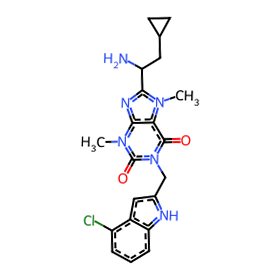 Cn1c(C(N)CC2CC2)nc2c1c(=O)n(Cc1cc3c(Cl)cccc3[nH]1)c(=O)n2C